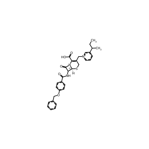 CCC(C)c1ccc[n+](CC2=C(C(=O)O)N3C(=O)C(NC(=O)c4ccc(OCc5ccccc5)cc4)[C@@H]3SC2)c1